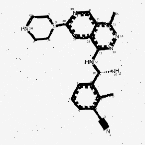 Cc1c(C#N)cccc1[C@@H](N)Nc1nnc(C)c2cnc(N3CCNCC3)cc12